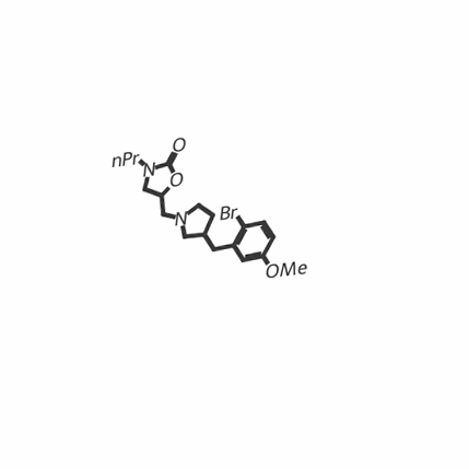 CCCN1CC(CN2CCC(Cc3cc(OC)ccc3Br)C2)OC1=O